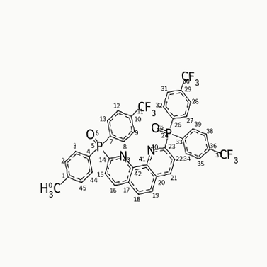 Cc1ccc(P(=O)(c2ccc(C(F)(F)F)cc2)c2ccc3ccc4ccc(P(=O)(c5ccc(C(F)(F)F)cc5)c5ccc(C(F)(F)F)cc5)nc4c3n2)cc1